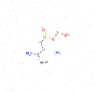 N.NC(CC[PH](=O)OCO)C(=O)O